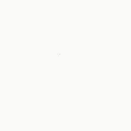 Cc1c(C)c(C)[c]([Mg][Cl])c(C)c1C